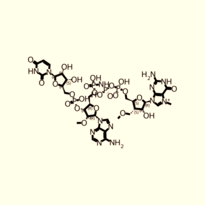 COC[C@H]1[C@@H](O)[C@H](n2c[n+](C)c3c(=O)[nH]c(N)nc32)O[C@@H]1COP(=O)(O)OP(=O)(O)NP(=O)(O)OC[C@H]1O[C@@H](n2cnc3c(N)ncnc32)[C@H](OC)[C@@H]1OP(=O)(O)OC[C@H]1O[C@@H](n2ccc(=O)[nH]c2=O)[C@H](O)[C@@H]1O